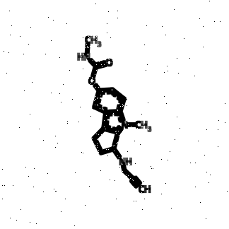 C#CCNC1CCc2c1n(C)c1ccc(OC(=O)NC)cc21